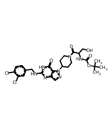 CC(C)(C)OC(=O)NC(CO)C(=O)N1CCC(n2ncc3nc(NCc4ccc(Cl)c(Cl)c4)[nH]c(=O)c32)CC1